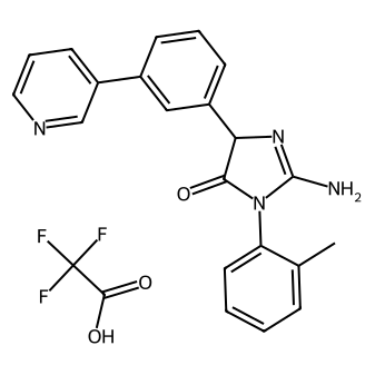 Cc1ccccc1N1C(=O)C(c2cccc(-c3cccnc3)c2)N=C1N.O=C(O)C(F)(F)F